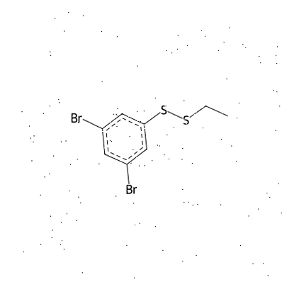 CCSSc1cc(Br)cc(Br)c1